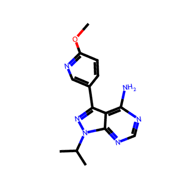 COc1ccc(-c2nn(C(C)C)c3ncnc(N)c23)cn1